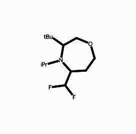 CC(C)N1C(C(F)F)CCOCC1C(C)(C)C